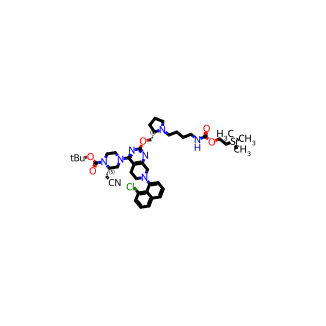 CC(C)(C)OC(=O)N1CCN(c2nc(OC[C@@H]3CCCN3CCCCNC(=O)OCC[Si](C)(C)C)nc3c2CCN(c2cccc4cccc(Cl)c24)C3)C[C@@H]1CC#N